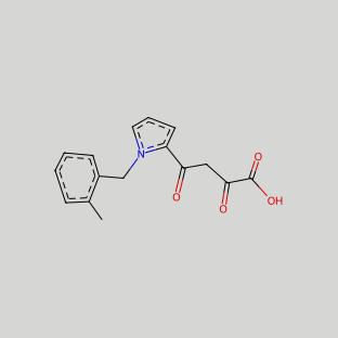 Cc1ccccc1Cn1cccc1C(=O)CC(=O)C(=O)O